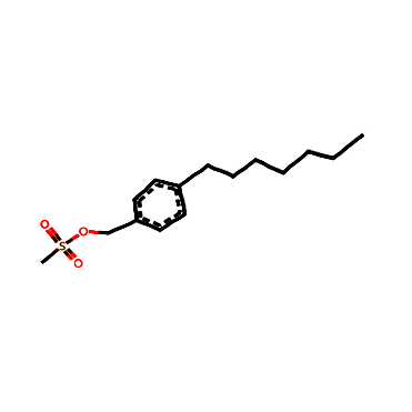 CCCCCCCc1ccc(COS(C)(=O)=O)cc1